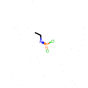 CCN=[PH](Cl)Cl